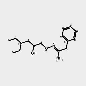 CCN(CC)CC(O)CON=C(N)Cc1ccccc1